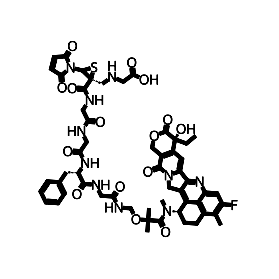 CC[C@@]1(O)C(=O)OCc2c1cc1n(c2=O)Cc2c-1nc1cc(F)c(C)c3c1c2[C@@H](N(C)C(=O)C(C)(C)OCNC(=O)CNC(=O)[C@H](Cc1ccccc1)NC(=O)CNC(=O)CNC(=O)[C@]1(CNCC(=O)O)SC1N1C(=O)C=CC1=O)CC3